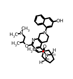 C=CC(=O)N1[C@@H]2CC[C@H]1CN(c1nc(OC(C)CN(C)C)nc3c1CCN(c1cc(O)cc4ccccc14)C3)C2